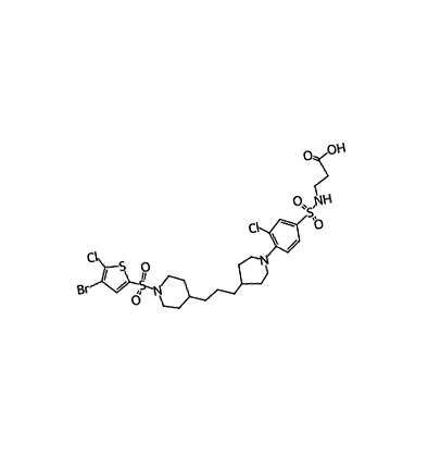 O=C(O)CCNS(=O)(=O)c1ccc(N2CCC(CCCC3CCN(S(=O)(=O)c4cc(Br)c(Cl)s4)CC3)CC2)c(Cl)c1